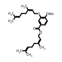 COc1ccc(C(=O)OCC=C(C)CCC=C(C)C)cc1OCC=C(C)CCC=C(C)C